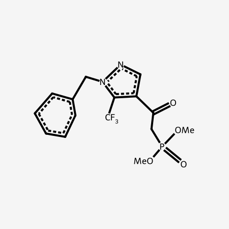 COP(=O)(CC(=O)c1cnn(Cc2ccccc2)c1C(F)(F)F)OC